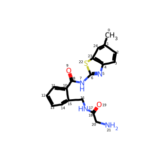 Cc1ccc2nc(NC(=O)c3ccccc3CNC(=O)CN)sc2c1